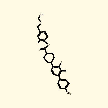 CCOCc1ccc(OC(=O)C2CCC(c3ccc(-c4ccc(C)cc4)c(F)c3F)CC2)c(F)c1